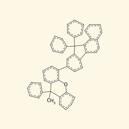 CC1(c2ccccc2)c2ccccc2Oc2c(-c3ccc4c(c3)C(c3ccccc3)(c3ccccc3)c3c-4ccc4ccccc34)cccc21